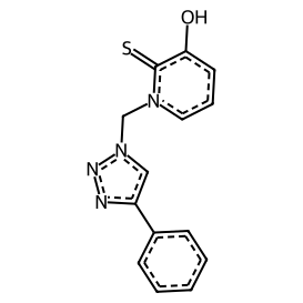 Oc1cccn(Cn2cc(-c3ccccc3)nn2)c1=S